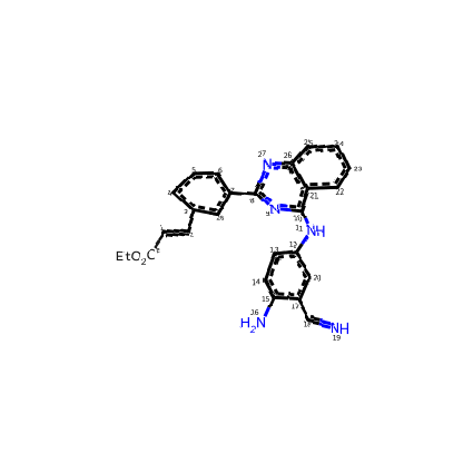 CCOC(=O)/C=C/c1cccc(-c2nc(Nc3ccc(N)c(C=N)c3)c3ccccc3n2)c1